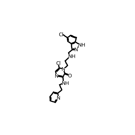 O=c1c(NCCc2ccccn2)ncc(Cl)n1CCNCc1n[nH]c2ccc(Cl)cc12